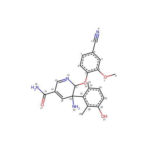 COc1cc(C#N)ccc1OC1N=CC(C(N)=O)=CC1(N)c1c(C)ccc(O)c1C